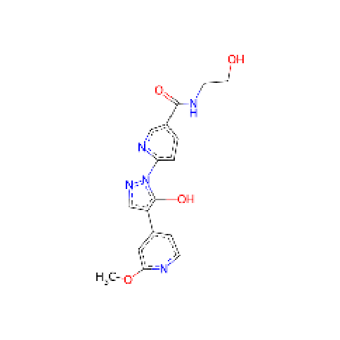 COc1cc(-c2cnn(-c3ccc(C(=O)NCCO)cn3)c2O)ccn1